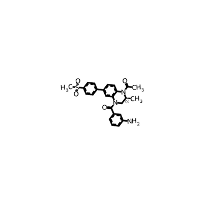 CC(=O)N1c2ccc(-c3ccc(S(C)(=O)=O)cc3)cc2N(C(=O)c2cccc(N)c2)C[C@@H]1C